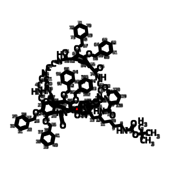 CC(C)(C)OC(=O)NCCCCC(CN1CCNC(=O)c2ccc(c(OCc3ccccc3)c2OCc2ccccc2)CNCCN2CCNC(=O)c3ccc(c(OCc4ccccc4)c3OCc3ccccc3)C(=O)NCCN(CCNC(=O)c3ccc(c(OCc4ccccc4)c3OCc3ccccc3)C(=O)NCC2)CC1)NC(=O)c1cccc(=O)n1OCc1ccccc1